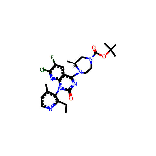 CCc1nccc(C)c1-n1c(=O)nc(N2CCN(C(=O)OC(C)(C)C)C[C@@H]2C)c2cc(F)c(Cl)nc21